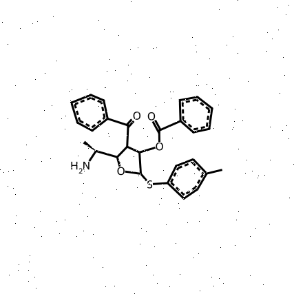 Cc1ccc(SC2OC([C@H](C)N)C(C(=O)c3ccccc3)C2OC(=O)c2ccccc2)cc1